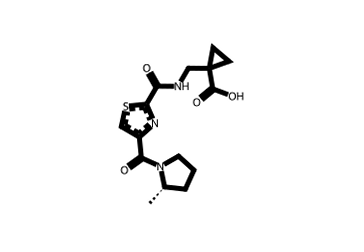 C[C@H]1CCCN1C(=O)c1csc(C(=O)NCC2(C(=O)O)CC2)n1